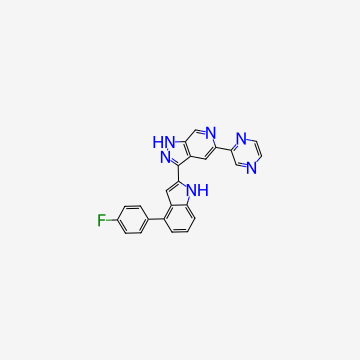 Fc1ccc(-c2cccc3[nH]c(-c4n[nH]c5cnc(-c6cnccn6)cc45)cc23)cc1